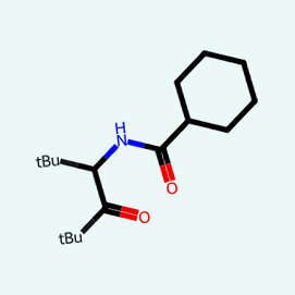 CC(C)(C)C(=O)C(NC(=O)C1CCCCC1)C(C)(C)C